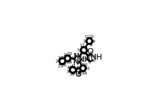 C1=Cc2c(oc3c(-c4ccccc4)ccc(C4=NC(c5ccc6ccccc6c5)=NC(c5cccc6oc7ccccc7c56)N4)c23)NC1